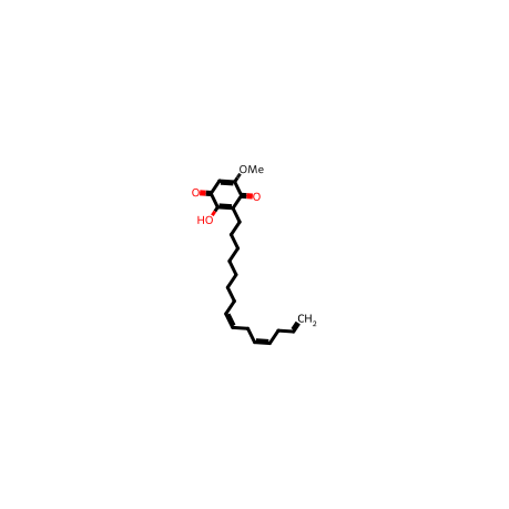 C=CC/C=C\C/C=C\CCCCCCCC1=C(O)C(=O)C=C(OC)C1=O